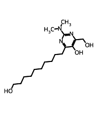 CN(C)c1nc(CO)c(O)c(CCCCCCCCCCO)n1